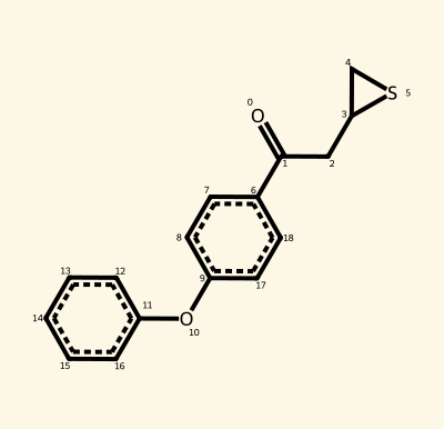 O=C(CC1CS1)c1ccc(Oc2ccccc2)cc1